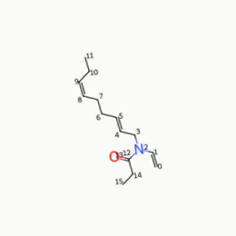 C=CN(C/C=C/CC/C=C\CC)C(=O)CC